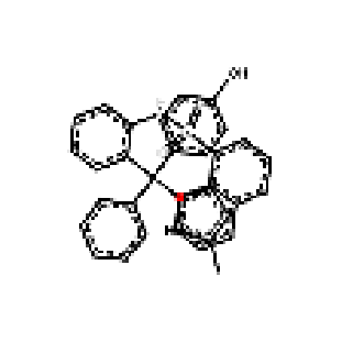 Cc1ccc([C@](c2ccccc2)(c2ccc(O)cc2)c2ccccc2NS(=O)(=O)c2cccc3ccccc23)[nH]1